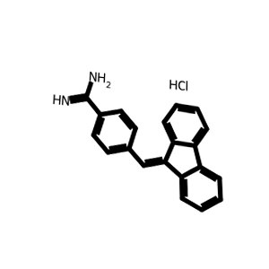 Cl.N=C(N)c1ccc(C=C2c3ccccc3-c3ccccc32)cc1